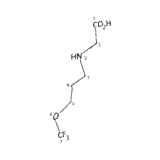 O=C(O)CNCCCOC(F)(F)F